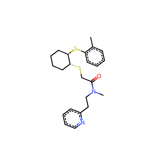 Cc1ccccc1S[C@@H]1CCCC[C@H]1SCC(=O)N(C)CCc1ccccn1